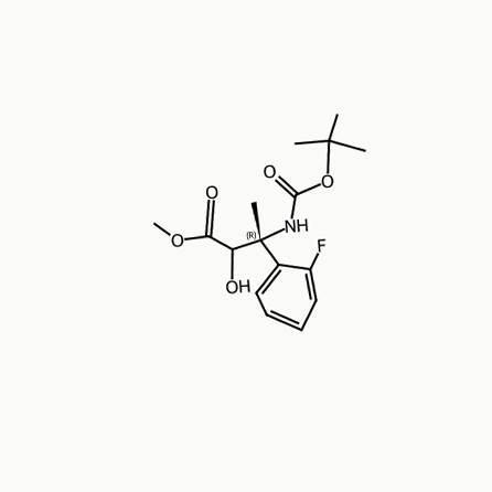 COC(=O)C(O)[C@](C)(NC(=O)OC(C)(C)C)c1ccccc1F